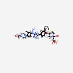 Cc1cc(Nc2ncnc(-c3ccc(O[C@H]4CCN(C(=O)CCO)C[C@@H]4F)c(C#N)c3)n2)ccc1N1CCN(C2COC2)CC1